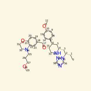 CC[C@@H](C[C@H]1C[C@H](c2ccc(OC)cc2)[C@@H](OCc2ccc3c(c2)N(CCCOC)CCO3)CN1)n1cncn1